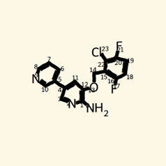 Nc1ncc(-c2cccnc2)cc1OCc1c(F)ccc(F)c1Cl